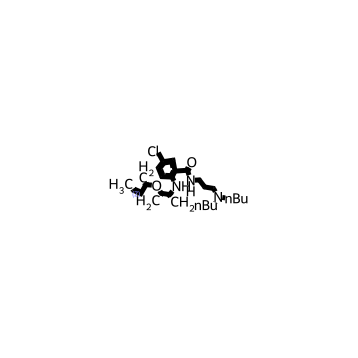 C=C(/C=C\C)OC(=C)C(=C)Nc1ccc(Cl)cc1C(=O)NCCCN(CCCC)CCCC